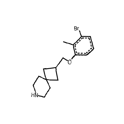 Cc1c(Br)cccc1OCC1CC2(CCNCC2)C1